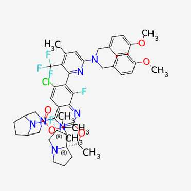 COc1ccc(CN(Cc2ccc(OC)cc2)c2cc(C)c(C(F)(F)F)c(-c3c(Cl)cc4c(N5CC6CCC(C5)N6C(=O)OC(C)(C)C)nc(OC(C)[C@]56CCCN5C[C@H](F)C6)nc4c3F)n2)cc1